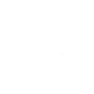 CCCC(O)/C=C(\C)CC=O